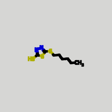 CCCCCCSc1nnc(S)s1